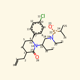 C=CCC1CC[C@@H](c2ccc(Cl)cc2)N(C(CC)CN(CC)[S+]([O-])C(C)C)C1=O